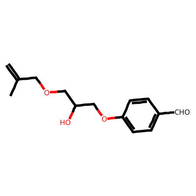 C=C(C)COCC(O)COc1ccc(C=O)cc1